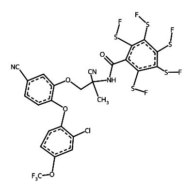 CC(C#N)(COc1cc(C#N)ccc1Oc1ccc(OC(F)(F)F)cc1Cl)NC(=O)c1c(SF)c(SF)c(SF)c(SF)c1SF